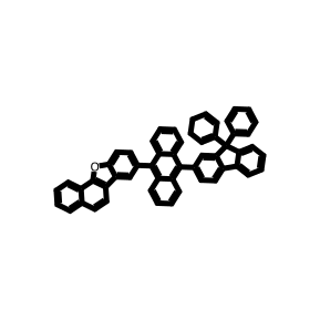 C1=CC(C2(c3ccccc3)c3ccccc3-c3ccc(-c4c5ccccc5c(-c5ccc6oc7c8ccccc8ccc7c6c5)c5ccccc45)cc32)=CCC1